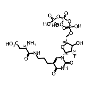 N[C@@H](CC(=O)O)C(=O)NCCCc1cn([C@@H]2O[C@H](COP(=O)(O)OP(=O)(O)OP(=O)(O)O)C(O)[C@@H]2F)c(=O)[nH]c1=O